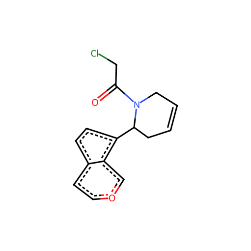 O=C(CCl)N1CC=CCC1c1ccc2ccocc1-2